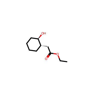 CCOC(=O)C[C@@H]1CCCC[C@H]1O